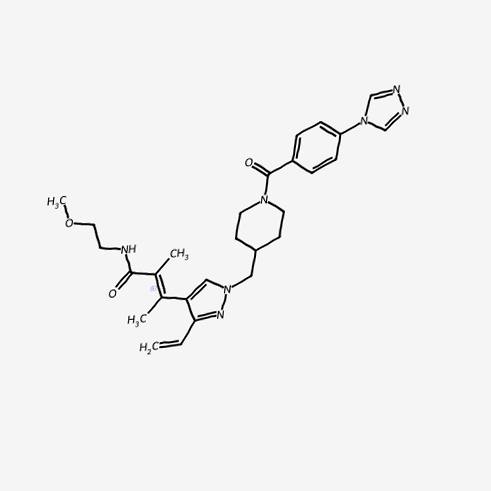 C=Cc1nn(CC2CCN(C(=O)c3ccc(-n4cnnc4)cc3)CC2)cc1/C(C)=C(\C)C(=O)NCCOC